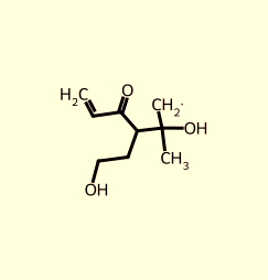 [CH2]C(C)(O)C(CCO)C(=O)C=C